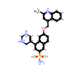 Cc1cc(COc2ccc3cc(S(N)(=O)=O)cc(C4=CNCNC4)c3c2)c2ccccc2n1